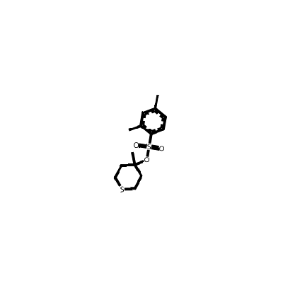 Cc1ccc(S(=O)(=O)OC2(C)CCSCC2)c(C)c1